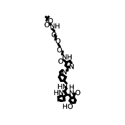 CC(C)(C)OC(=O)NCCOCCOCCOCCNC(=O)c1ccnc(Cn2ccc3ccc(CNCc4[nH]c5ccccc5c4C4NC(=O)c5ccc(O)cc54)cc32)c1